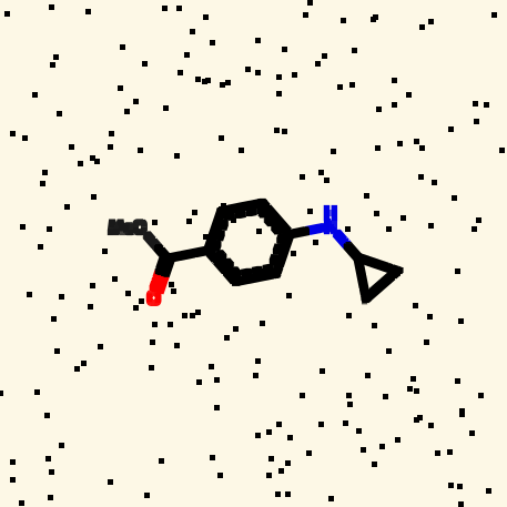 COC(=O)c1ccc(NC2CC2)cc1